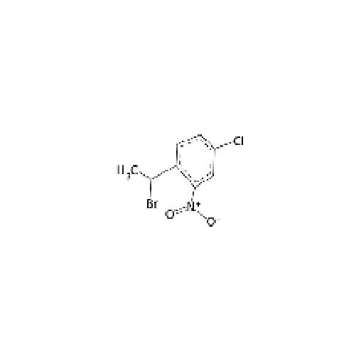 CC(Br)c1ccc(Cl)cc1[N+](=O)[O-]